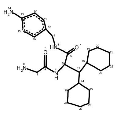 NCC(=O)NC(C(=O)NCc1ccc(N)nc1)C(C1CCCCC1)C1CCCCC1